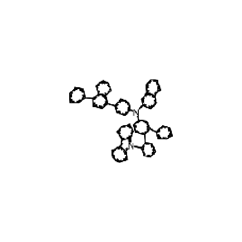 c1ccc(-c2cc(N(c3ccc(-c4ccc(-c5ccccc5)c5ccccc45)cc3)c3ccc4ccccc4c3)ccc2-c2ccccc2-n2c3ccccc3c3ccccc32)cc1